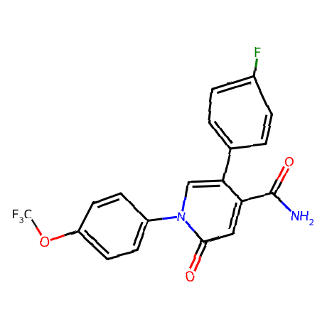 NC(=O)c1cc(=O)n(-c2ccc(OC(F)(F)F)cc2)cc1-c1ccc(F)cc1